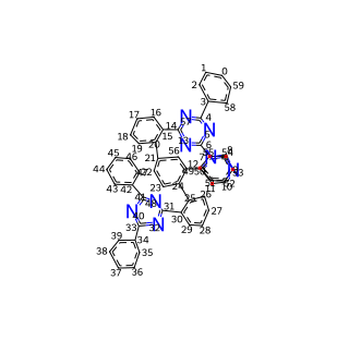 c1ccc(-c2nc(-c3ccccc3)nc(-c3ccccc3-c3ccc(-c4ccccc4-c4nc(-c5ccccc5)nc(-c5ccccc5)n4)c(-c4ccncn4)c3)n2)cc1